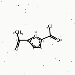 CC(=O)c1ccc(C(=O)Cl)o1